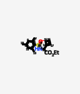 CCOC(=O)[C@@H](N[S@@+]([O-])c1c(C)cc(C)cc1C)C12CC(C1)C2